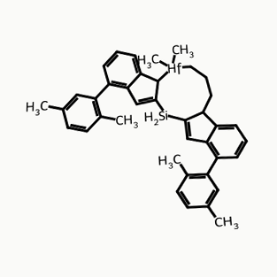 Cc1ccc(C)c(-c2cccc3c2C=C2[SiH2]C4=Cc5c(-c6cc(C)ccc6C)cccc5[CH]4[Hf]([CH3])([CH3])[CH2]CCC23)c1